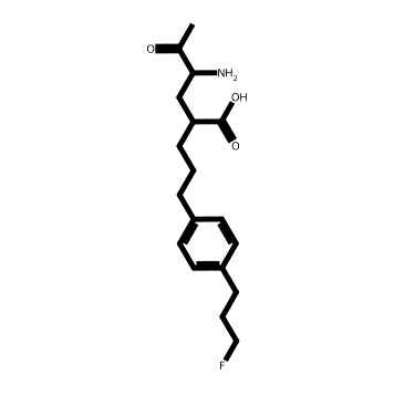 CC(=O)C(N)CC(CCCc1ccc(CCCF)cc1)C(=O)O